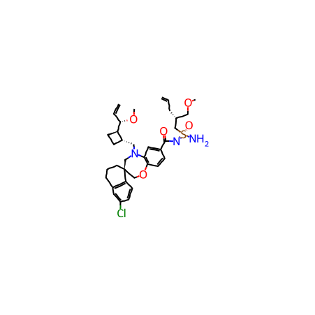 C=CC[C@H](COC)CS(N)(=O)=NC(=O)c1ccc2c(c1)N(C[C@@H]1CC[C@H]1[C@H](C=C)OC)C[C@@]1(CCCc3cc(Cl)ccc31)CO2